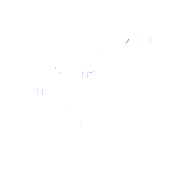 Nc1nc(=O)n([C@H]2O[C@@H](CO)C=C2F)cc1C(=O)c1ccccc1